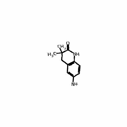 CC1(C)Cc2cc([NH])ccc2NC1=O